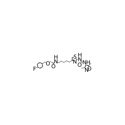 Cc1noc(C)c1NC(=O)Nc1nc(CCCCCNC(=O)COCc2ccc(F)cc2)cs1